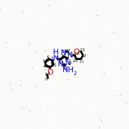 CCOc1cccc(Nc2nc(N)nc3c2ncn3C2CCCCO2)c1